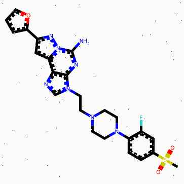 CS(=O)(=O)c1ccc(N2CCN(CCn3cnc4c3nc(N)n3nc(-c5ccco5)cc43)CC2)c(F)c1